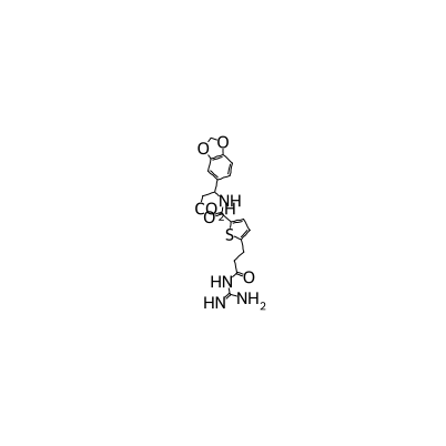 N=C(N)NC(=O)CCc1ccc(C(=O)NC(CC(=O)O)c2ccc3c(c2)OCO3)s1